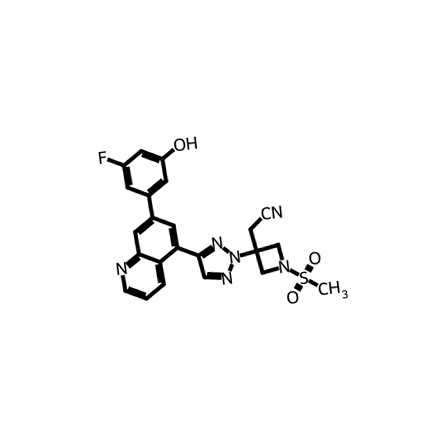 CS(=O)(=O)N1CC(CC#N)(n2ncc(-c3cc(-c4cc(O)cc(F)c4)cc4ncccc34)n2)C1